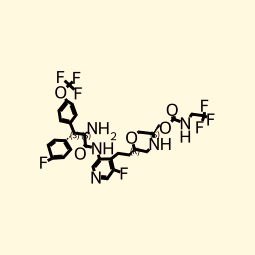 N[C@H](C(=O)Nc1cncc(F)c1CC[C@@H]1CN[C@H](COC(=O)NCC(F)(F)F)CO1)[C@H](c1ccc(F)cc1)c1ccc(OC(F)(F)F)cc1